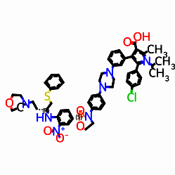 Cc1c(C(=O)O)c(-c2cccc(N3CCN(c4ccc(N5CCO[P@@]5(=O)c5ccc(N[C@H](CCN6CCOCC6)CSc6ccccc6)c([N+](=O)[O-])c5)cc4)CC3)c2)c(-c2ccc(Cl)cc2)n1C(C)C